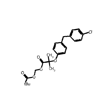 CC(C)(C)C(=O)OCOC(=O)C(C)(C)Oc1ccc(Cc2ccc(Cl)cc2)cc1